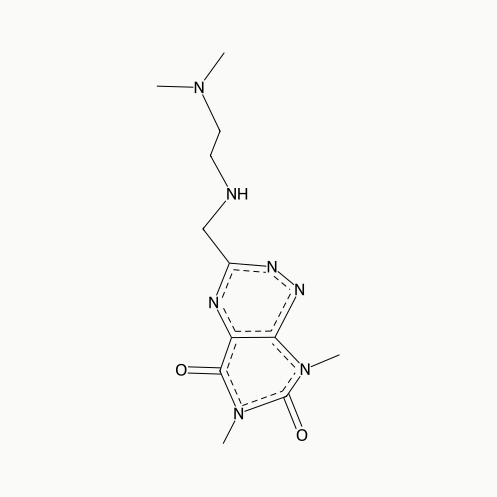 CN(C)CCNCc1nnc2c(n1)c(=O)n(C)c(=O)n2C